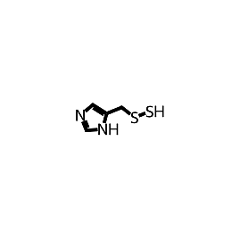 SSCc1cnc[nH]1